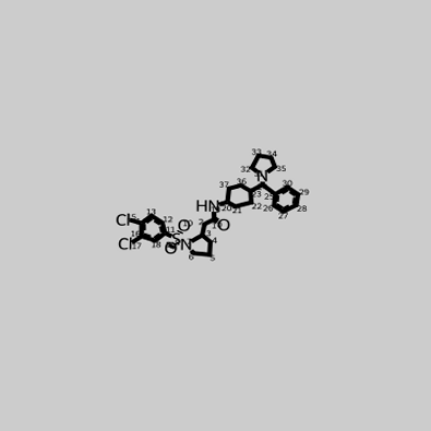 O=C(CC1CCCN1S(=O)(=O)c1ccc(Cl)c(Cl)c1)NC1CCC(C(c2ccccc2)N2CCCC2)CC1